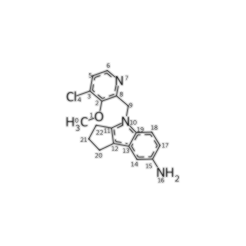 COc1c(Cl)ccnc1Cn1c2c(c3cc(N)ccc31)CCC2